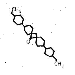 CCC1CCC(C2CC[C@]3(CC2)C[C@@]2(CC[C@H](C4CCC(CC)CC4)CC2)C3=O)CC1